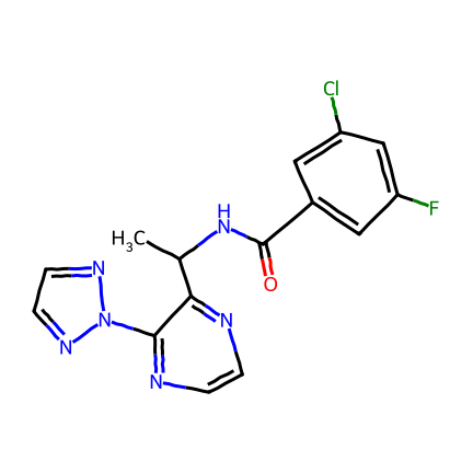 CC(NC(=O)c1cc(F)cc(Cl)c1)c1nccnc1-n1nccn1